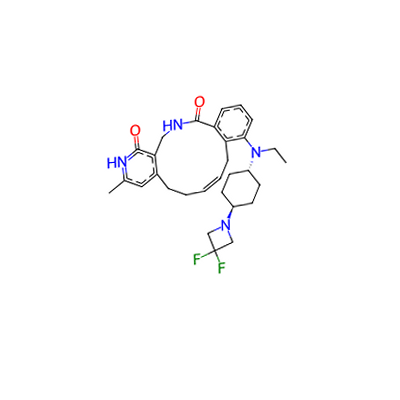 CCN(c1cccc2c1CC=CCCc1cc(C)[nH]c(=O)c1CNC2=O)[C@H]1CC[C@H](N2CC(F)(F)C2)CC1